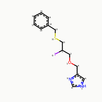 IC(COCc1c[nH]cn1)CSCc1ccccc1